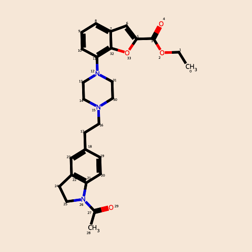 CCOC(=O)c1cc2cccc(N3CCN(CCc4ccc5c(c4)CCN5C(C)=O)CC3)c2o1